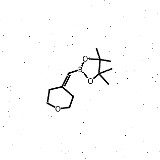 CC1(C)OB(C=C2CCOCC2)OC1(C)C